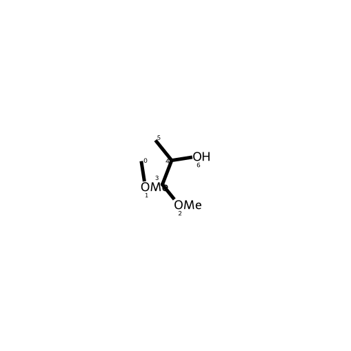 COC.COCC(C)O